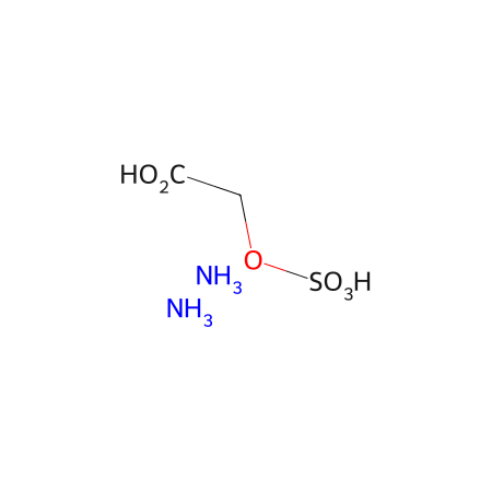 N.N.O=C(O)COS(=O)(=O)O